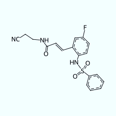 N#CCCNC(=O)/C=C/c1cc(F)ccc1NS(=O)(=O)c1ccccc1